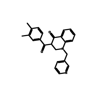 Cc1ccc(C(=O)C2CN(Cc3cccnc3)c3ccccc3C2=O)cc1C